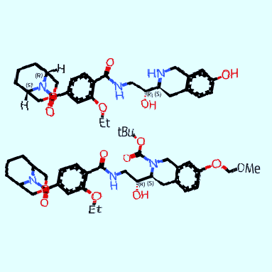 CCOc1cc(C(=O)N2C3CCCC2COC3)ccc1C(=O)NC[C@@H](O)[C@@H]1Cc2ccc(OCOC)cc2CN1C(=O)OC(C)(C)C.CCOc1cc(C(=O)N2[C@@H]3CCC[C@H]2COC3)ccc1C(=O)NC[C@@H](O)[C@@H]1Cc2ccc(O)cc2CN1